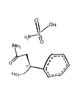 NC(=O)C[C@H](CO)c1ccccc1.NS(=O)(=O)O